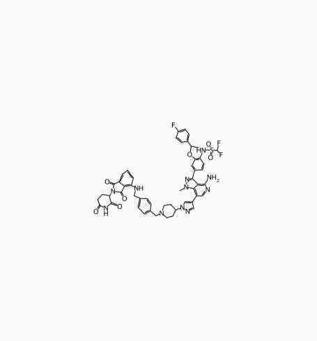 CC(Oc1cc(-c2nn(C)c3c(-c4cnn(C5CCN(Cc6ccc(CNc7cccc8c7C(=O)N(C7CCC(=O)NC7=O)C8=O)cc6)CC5)c4)cnc(N)c23)ccc1NS(=O)(=O)C(F)F)c1ccc(F)cc1